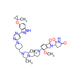 COc1c(N2CCC(CN3[C@H](C)CN(CC4CCN(c5cc(-c6n[nH]c7ccc(OC8(C)CC8)cc67)ncn5)CC4)C[C@@H]3C)CC2)ccc2c1CN(C1CCC(=O)NC1=O)C2=O